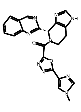 Cn1cnc(-c2nnc(C(=O)N3CCc4[nH]cnc4[C@H]3c3ncc4ccccc4n3)o2)c1